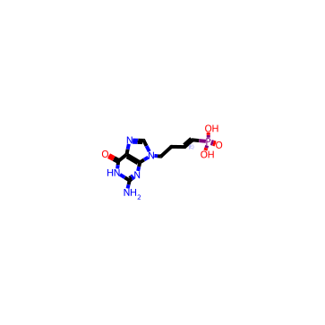 Nc1nc2c(ncn2CC/C=C/P(=O)(O)O)c(=O)[nH]1